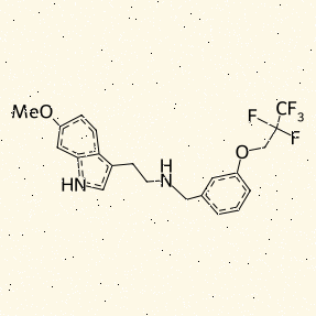 COc1ccc2c(CCNCc3cccc(OCC(F)(F)C(F)(F)F)c3)c[nH]c2c1